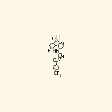 O=C(Cn1cc(Nc2ccnc3[nH]c(=O)c4ccc(F)cc4c23)cn1)c1ccc(C(F)(F)F)cc1